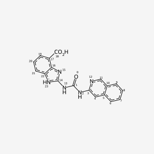 O=C(Nc1cc2ccccc2cn1)Nc1nc2c(C(=O)O)cccc2[nH]1